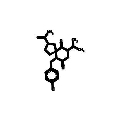 CC(C)N1CC(=O)N(Cc2ccc(Cl)cc2)[C@@]2(CCN(C(N)=O)C2)C1=O